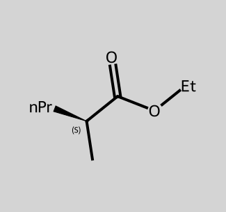 CCC[C@H](C)C(=O)OCC